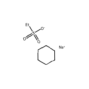 C1CCCCC1.CCS(=O)(=O)[O-].[Na+]